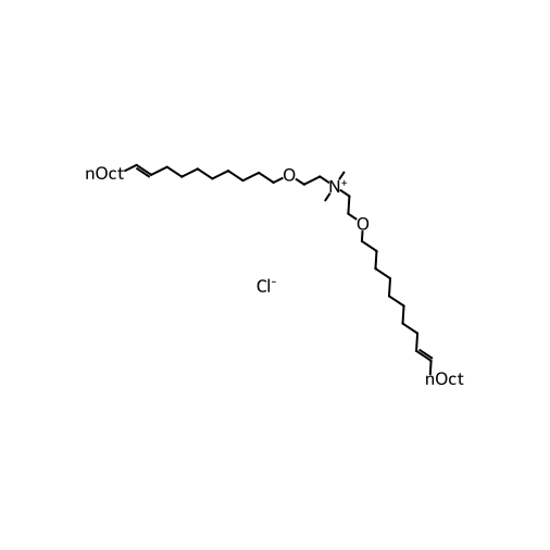 CCCCCCCCC=CCCCCCCCCOCC[N+](C)(C)CCOCCCCCCCCC=CCCCCCCCC.[Cl-]